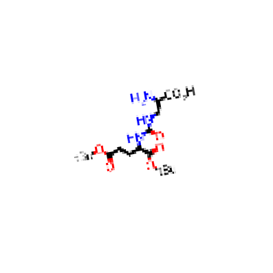 CC(C)(C)OC(=O)CCC(NC(=O)NCC(N)C(=O)O)C(=O)OC(C)(C)C